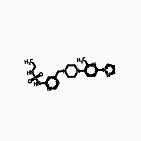 CCNS(=O)(=O)Nc1cc(CN2CCN(c3ccc(-n4cccn4)nc3C)CC2)ccn1